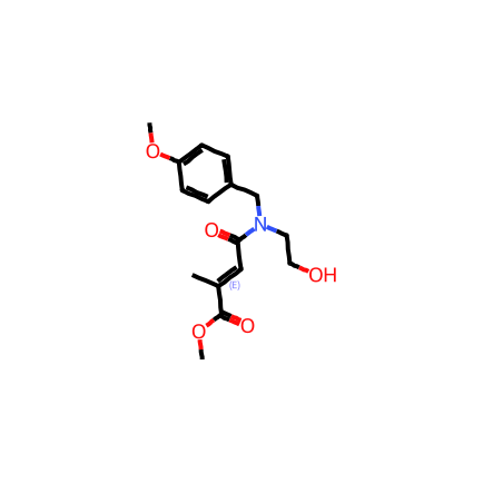 COC(=O)/C(C)=C/C(=O)N(CCO)Cc1ccc(OC)cc1